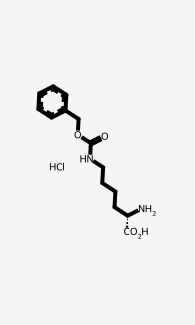 Cl.N[C@@H](CCCCNC(=O)OCc1ccccc1)C(=O)O